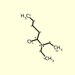 CCCCC(Cl)N(CC)CC